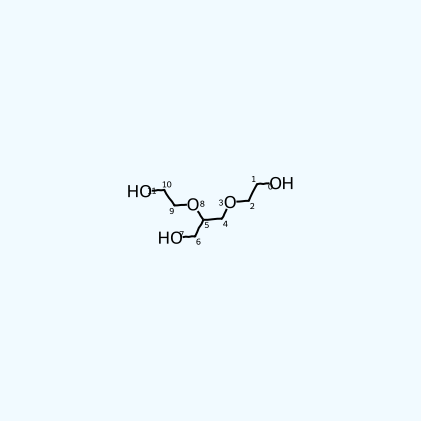 OCCOCC(CO)OCCO